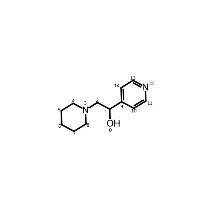 OC(CN1CCCCC1)c1ccncc1